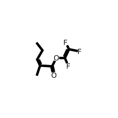 CCC=C(C)C(=O)OC(F)=C(F)F